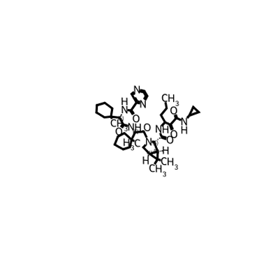 CCCC(NC(=O)[C@@H]1[C@@H]2[C@H](CN1C(=O)[C@@H](NC(=O)[C@@H](NC(=O)c1cnccn1)C1(C)CCCCC1)C1(C)CCCCC1)C2(C)C)C(=O)C(=O)NC1CC1